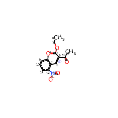 CCOC(=O)/C(=C\c1ccccc1[N+](=O)[O-])C(C)=O